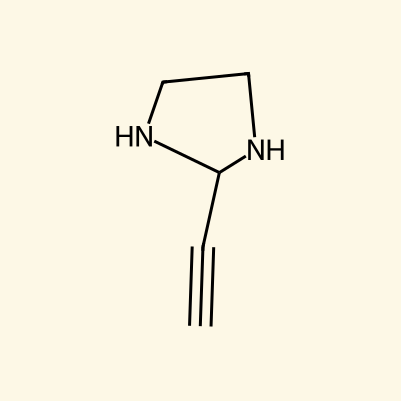 C#CC1NCCN1